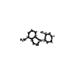 Nc1cccc2c1cnn2-c1ccccc1F